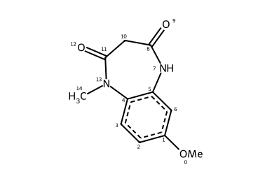 COc1ccc2c(c1)NC(=O)CC(=O)N2C